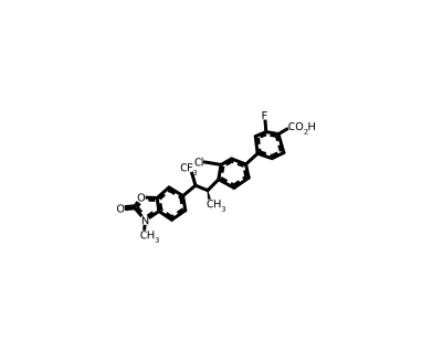 C[C@H](c1ccc(-c2ccc(C(=O)O)c(F)c2)cc1Cl)C(c1ccc2c(c1)oc(=O)n2C)C(F)(F)F